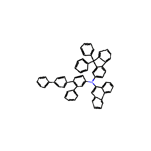 c1ccc(-c2ccc(-c3ccc(N(c4ccc5c(c4)C(c4ccccc4)(c4ccccc4)c4ccccc4-5)c4cc5ccccc5c5ccccc45)cc3-c3ccccc3)cc2)cc1